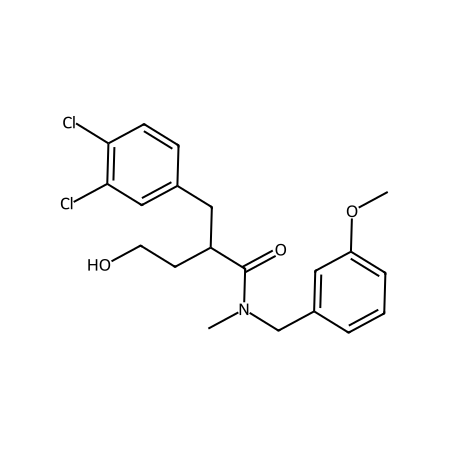 COc1cccc(CN(C)C(=O)C(CCO)Cc2ccc(Cl)c(Cl)c2)c1